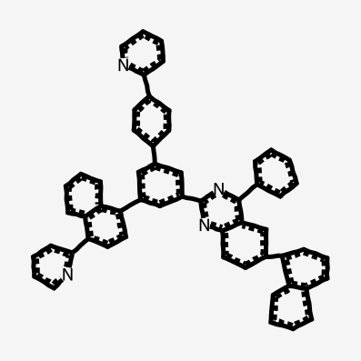 c1ccc(-c2nc(-c3cc(-c4ccc(-c5ccccn5)cc4)cc(-c4ccc(-c5ccccn5)c5ccccc45)c3)nc3ccc(-c4cccc5ccccc45)cc23)cc1